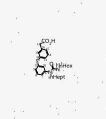 CCCCCCCN(C(=O)NCCCCCC)c1cccc(Sc2cccc(CC(=O)O)c2)c1